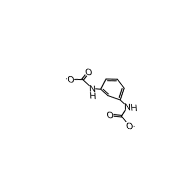 [O]C(=O)Nc1cccc(NC([O])=O)c1